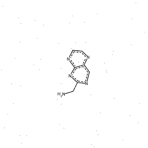 NCc1ncc2nccnc2n1